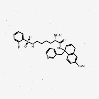 COc1ccc2c(c1)CC=CC2(Cc1cccnc1)NC(=O)[C@H](CCCCNS(=O)(=O)c1ccccc1F)NC(C)=O